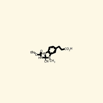 CN1c2cc(CCC(=O)O)ccc2N[C@@]1(C#N)NC(=O)OC(C)(C)C